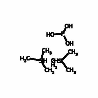 C[SiH](C)C.C[SiH](C)C.OP(O)O